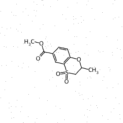 COC(=O)c1ccc2c(c1)S(=O)(=O)CC(C)O2